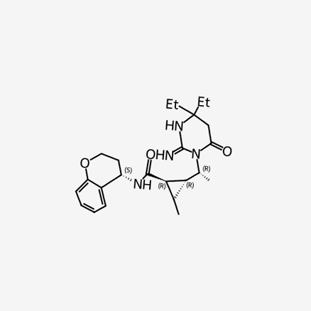 CCC1(CC)CC(=O)N([C@H](C)[C@@H]2C(C)[C@H]2C(=O)N[C@H]2CCOc3ccccc32)C(=N)N1